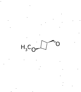 CO[C@H]1C[C@@H](C=O)C1